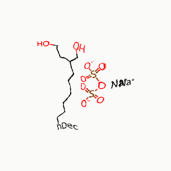 CCCCCCCCCCCCCCCCC(CO)CCO.O=S(=O)([O-])OS(=O)(=O)[O-].[Na+].[Na+]